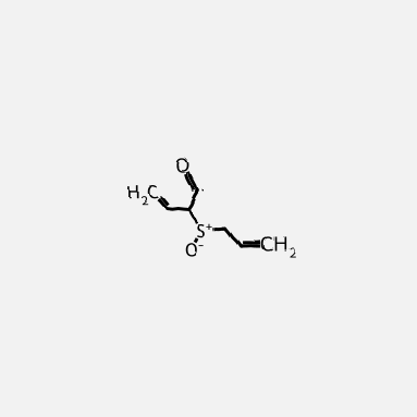 C=CC[S+]([O-])C([C]=O)C=C